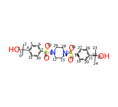 CC(C)(O)c1ccc(S(=O)(=O)N2CCN(S(=O)(=O)c3ccc(C(C)(C)O)cc3)CC2)cc1